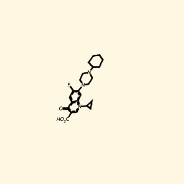 O=C(O)c1cn(C2CC2)c2cc(N3CCN(C4CCCCC4)CC3)c(F)cc2c1=O